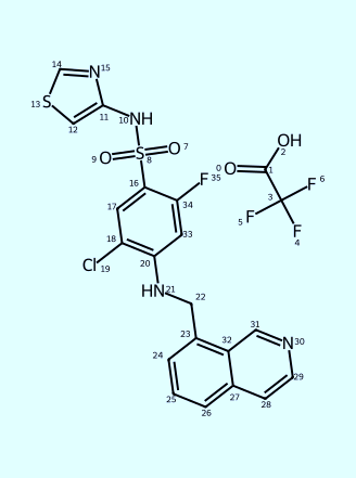 O=C(O)C(F)(F)F.O=S(=O)(Nc1cscn1)c1cc(Cl)c(NCc2cccc3ccncc23)cc1F